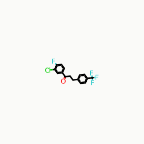 O=C(CCc1ccc(C(F)(F)F)cc1)c1ccc(F)c(Cl)c1